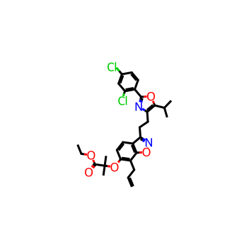 C=CCc1c(OC(C)(C)C(=O)OCC)ccc2c(CCc3nc(-c4ccc(Cl)cc4Cl)oc3C(C)C)noc12